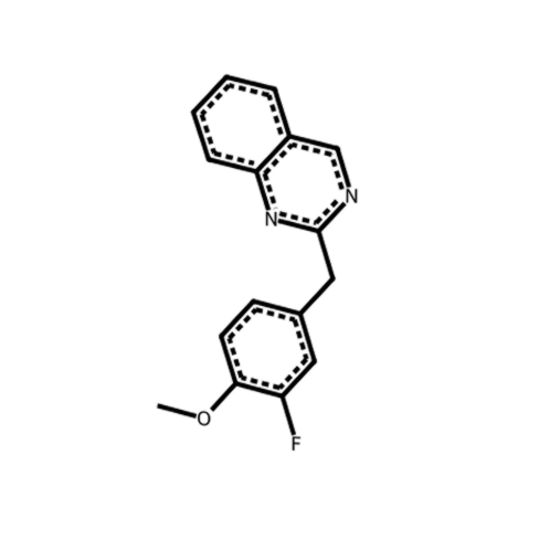 COc1ccc(Cc2ncc3ccccc3n2)cc1F